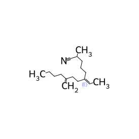 C=C(CCCC)CC/C(=C/C)CCCC(C)C#N